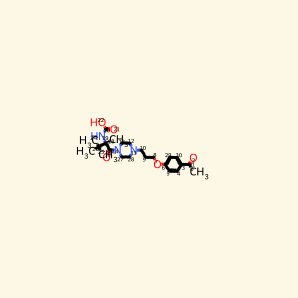 CC(=O)c1ccc(OCCCN2CCN(C(=O)[C@@](C)(NC(=O)O)C(C)(C)C)CC2)cc1